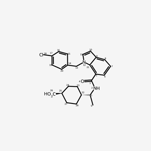 CC(NC(=O)c1cccc2ccn(Cc3ccc(Cl)cc3)c12)[C@H]1CC[C@H](C(=O)O)CC1